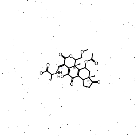 COCC1OC(=O)/C(=C/NC(C)C(=O)O)C2=C(O)C(=O)C3=C(C(OC(C)=O)C[C@]4(C)C(=O)CCC34)[C@]21C